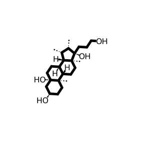 C[C@H]1[C@H]2[C@@H]3CC[C@]4(O)C[C@@H](O)CC[C@]4(C)[C@H]3CC[C@]2(C)[C@](O)(CCCO)[C@H]1C